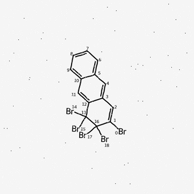 BrC1=Cc2cc3ccccc3cc2C(Br)(Br)C1(Br)Br